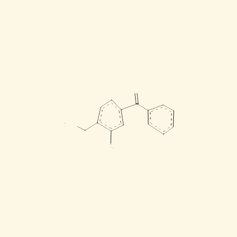 CC(=O)OCc1ccc(C(=O)c2ccccc2)cc1Br